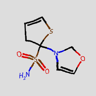 NS(=O)(=O)C1(N2C=COC2)CC=CS1